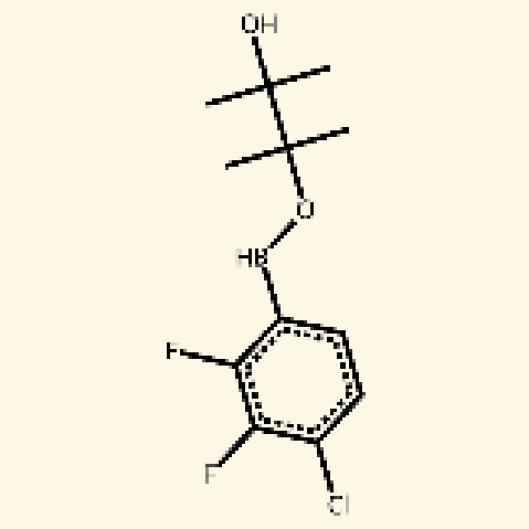 CC(C)(O)C(C)(C)OBc1ccc(Cl)c(F)c1F